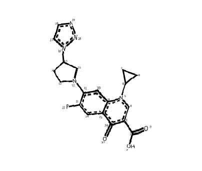 O=C(O)c1cn(C2CC2)c2cc(N3CCC(n4ccnn4)C3)c(F)cc2c1=O